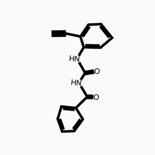 C#Cc1ccccc1NC(=O)NC(=O)c1ccccc1